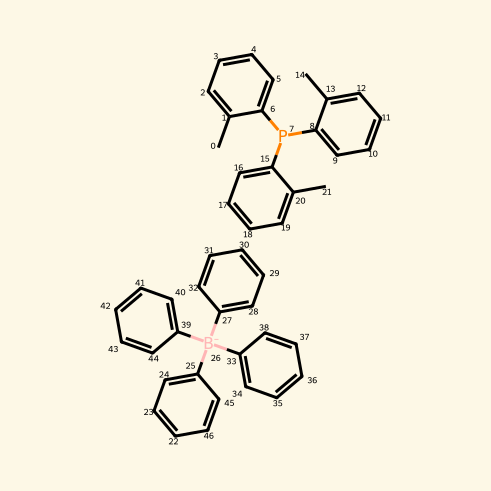 Cc1ccccc1P(c1ccccc1C)c1ccccc1C.c1ccc([B-](c2ccccc2)(c2ccccc2)c2ccccc2)cc1